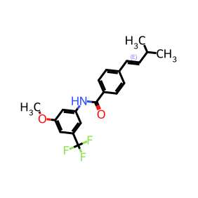 COc1cc(NC(=O)c2ccc(/C=C/C(C)C)cc2)cc(C(F)(F)F)c1